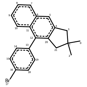 CC1(C)Cc2cc3ccccc3c(-c3ccc(Br)cc3)c2C1